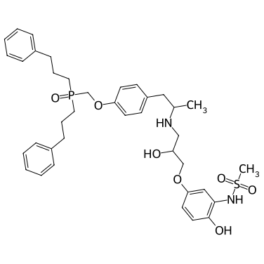 CC(Cc1ccc(OCP(=O)(CCCc2ccccc2)CCCc2ccccc2)cc1)NCC(O)COc1ccc(O)c(NS(C)(=O)=O)c1